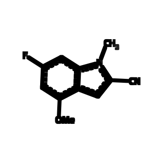 COc1cc(F)cc2c1cc(C#N)n2C